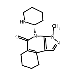 Cn1ncc2c3c(c(=O)n([C@H]4CCCCN4)c21)CCCC3